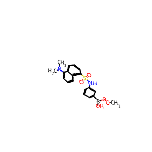 COOB(O)c1cccc(NS(=O)(=O)c2cccc3c(N(C)C)cccc23)c1